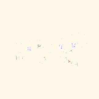 Cc1ccc(N(c2ccc3c(c2)Oc2ccc(C)c4c2B3c2ccccc2N4c2ccccc2)c2cccc3c4ccccc4n(-c4ccccc4)c23)cc1